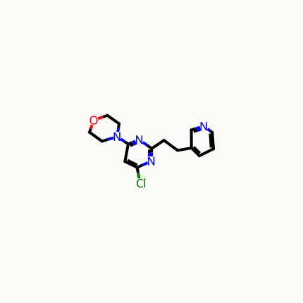 Clc1cc(N2CCOCC2)nc(CCc2cccnc2)n1